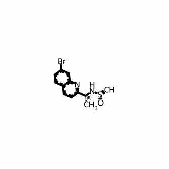 C#S(=O)N[C@H](C)c1ccc2ccc(Br)cc2n1